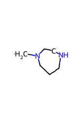 [CH2]N1CCCNCC1